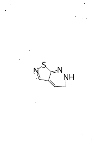 C1=c2cnsc2=NNC1